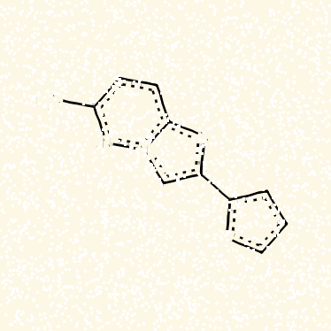 Nc1ccc2nc(-c3cccs3)cn2n1